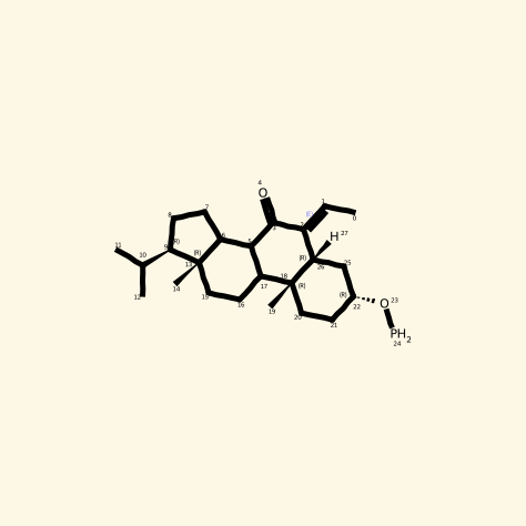 C/C=C1/C(=O)C2C3CC[C@H](C(C)C)[C@@]3(C)CCC2[C@@]2(C)CC[C@@H](OP)C[C@@H]12